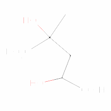 CC(O)(CC(O)C(=O)O)C(=O)O